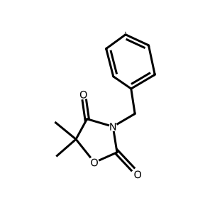 CC1(C)OC(=O)N(Cc2cc[c]cc2)C1=O